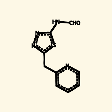 O=CNc1nnc(Cc2ccccn2)s1